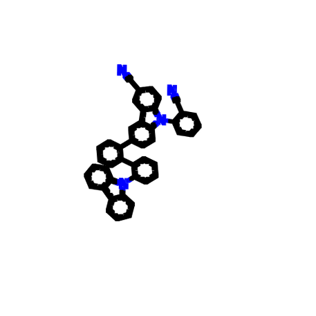 N#Cc1ccc2c(c1)c1cc(-c3ccccc3-c3ccccc3-n3c4ccccc4c4ccccc43)ccc1n2-c1ccccc1C#N